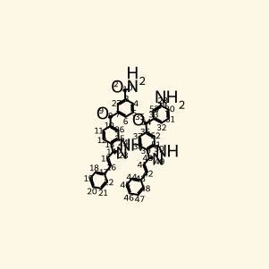 NC(=O)c1cccc(C(=O)c2ccc3c(C=Cc4ccccc4)n[nH]c3c2)c1.Nc1cccc(C(=O)c2ccc3c(C=Cc4ccccc4)n[nH]c3c2)c1